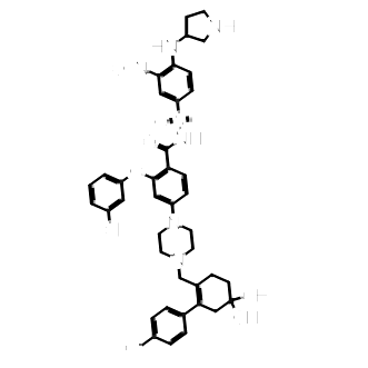 CC1(C)CCC(CN2CCN(c3ccc(C(=O)NS(=O)(=O)c4ccc(NC5CCNC5)c([N+](=O)[O-])c4)c(Oc4cccc(Cl)c4)c3)CC2)=C(c2ccc(Cl)cc2)C1